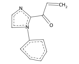 C=CC(=O)c1nccn1-c1ccccc1